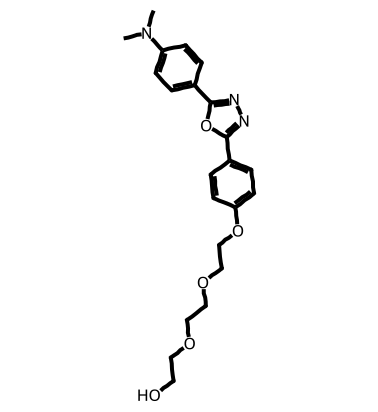 CN(C)c1ccc(-c2nnc(-c3ccc(OCCOCCOCCO)cc3)o2)cc1